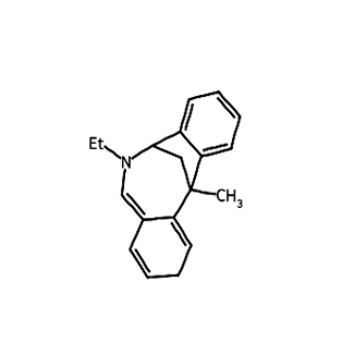 CCN1C=C2C=CCC=C2C2(C)CC1c1ccccc12